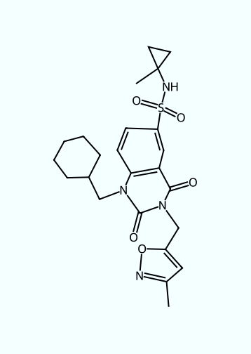 Cc1cc(Cn2c(=O)c3cc(S(=O)(=O)NC4(C)CC4)ccc3n(CC3CCCCC3)c2=O)on1